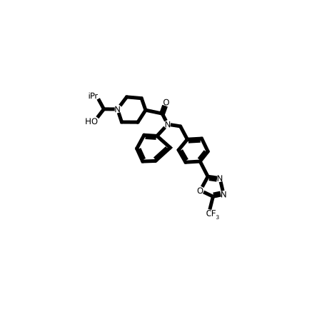 CC(C)C(O)N1CCC(C(=O)N(Cc2ccc(-c3nnc(C(F)(F)F)o3)cc2)c2ccccc2)CC1